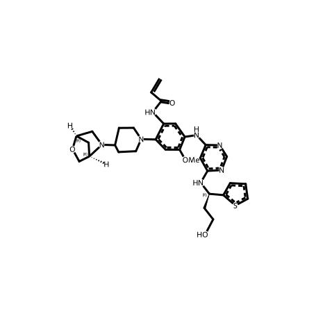 C=CC(=O)Nc1cc(Nc2cc(N[C@H](CCO)c3cccs3)ncn2)c(OC)cc1N1CCC(N2C[C@H]3C[C@@H]2CO3)CC1